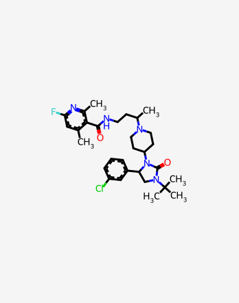 Cc1cc(F)nc(C)c1C(=O)NCCC(C)N1CCC(N2C(=O)N(C(C)(C)C)CC2c2cccc(Cl)c2)CC1